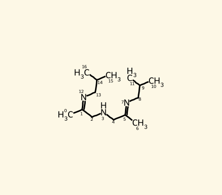 CC(CNCC(C)=NCC(C)C)=NCC(C)C